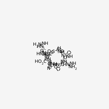 CC(=O)[C@@H]1CSSC[C@H](NC(=O)[C@@H](CCCNC(=N)N)N2C(=O)CNC2=O)C(=O)N[C@@H](CCC(=O)O)C(=O)N[C@@H](CC2CN=CN2)C(=O)N[C@H](Cc2ccccc2)C(=O)N[C@@H](CCCNC(=N)N)C(=O)N[C@@H](Cc2c[nH]c3ccccc23)C(=O)N1